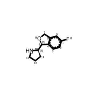 Fc1ccc2c(c1)CO[C@@H]2[C@H]1CCCN1